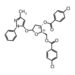 Cc1cc(OC2C[C@H](OC(=O)c3ccc(Cl)cc3)[C@@H](COC(=O)c3ccc(Cl)cc3)O2)n(-c2ccccc2)n1